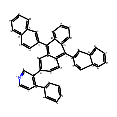 c1ccc(-c2ccncc2-c2ccc3c(-c4ccc5ccccc5c4)c4ccccc4c(-c4ccc5ccccc5c4)c3c2)cc1